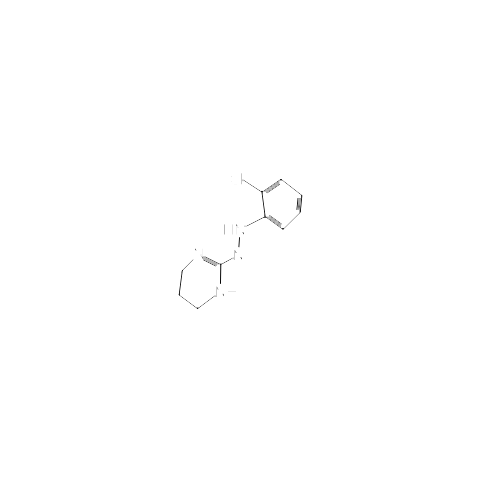 Clc1ccccc1NNC1=NCCCN1